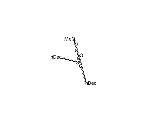 CCCCCCCCCCCCCCCCCCOC[C@H](COC(=O)CCOCCOCCOC)OCCCCCCCCCCCCCCCCCC